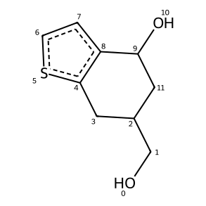 OCC1Cc2sccc2C(O)C1